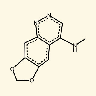 CNc1cnnc2cc3c(cc12)OCO3